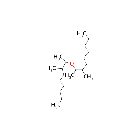 CCCCCCC(C)C(C)OC(C)C(C)CCCCCC